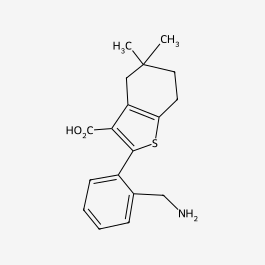 CC1(C)CCc2sc(-c3ccccc3CN)c(C(=O)O)c2C1